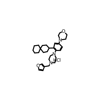 Cl.c1cc(CN2CCN(c3ccc(N4CCOCC4)cc3C3CCC4(CCCCC4)CC3)CC2)co1